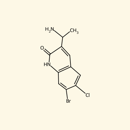 CC(N)c1cc2cc(Cl)c(Br)cc2[nH]c1=O